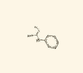 CNC(=NC(C)=O)Nc1ccccc1